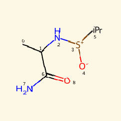 CC(N[S+]([O-])C(C)C)C(N)=O